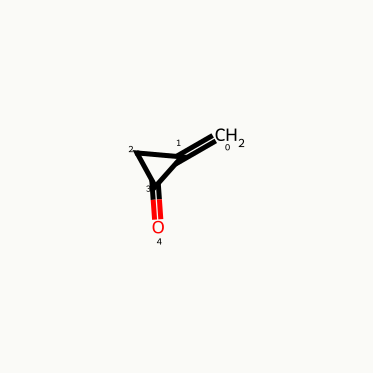 C=C1CC1=O